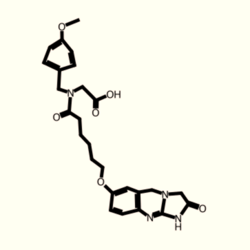 COc1ccc(CN(CC(=O)O)C(=O)CCCCCOc2ccc3c(c2)CN2CC(=O)NC2=N3)cc1